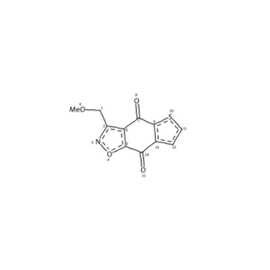 COCc1noc2c1C(=O)c1sccc1C2=O